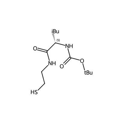 CCC(C)[C@H](NC(=O)OC(C)(C)C)C(=O)NCCS